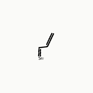 C=C[CH]=[Sn]